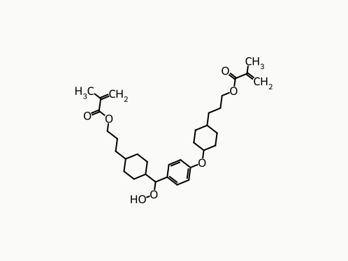 C=C(C)C(=O)OCCCC1CCC(Oc2ccc(C(OO)C3CCC(CCCOC(=O)C(=C)C)CC3)cc2)CC1